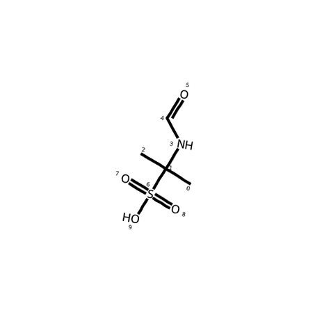 CC(C)(NC=O)S(=O)(=O)O